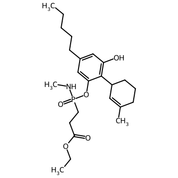 CCCCCc1cc(O)c(C2C=C(C)CCC2)c(OP(=O)(CCC(=O)OCC)NC)c1